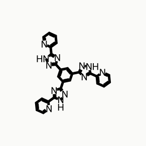 c1ccc(-c2nc(-c3cc(-c4n[nH]c(-c5ccccn5)n4)cc(-c4n[nH]c(-c5ccccn5)n4)c3)n[nH]2)nc1